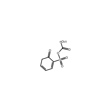 CCCCCCCCC(=O)OS(=O)(=O)C1=CC=CCC1=O